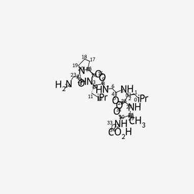 CC(C)C[C@H](NC(=O)CNC(=O)[C@H](CC(C)C)NC(=O)[C@@H]1CCCN1C(=O)CN)C(=O)N[C@@H](C)C(=O)NCC(=O)O